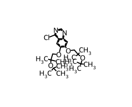 CC(C)(C)OC(C)(C)COc1cc2ncnc(Cl)c2cc1OCC(C)(C)OC(C)(C)C